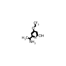 CC(N)c1cc(OCC(F)(F)F)ccn1.Cl